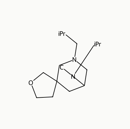 CC(C)CN1CC2CN(C(C)C)CC1C1(CCOC1)C2